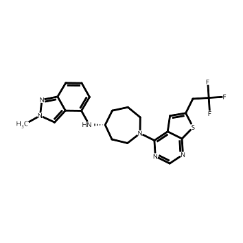 Cn1cc2c(N[C@@H]3CCCN(c4ncnc5sc(CC(F)(F)F)cc45)CC3)cccc2n1